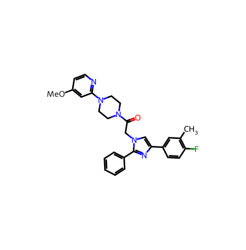 COc1ccnc(N2CCN(C(=O)Cn3cc(-c4ccc(F)c(C)c4)nc3-c3ccccc3)CC2)c1